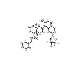 CC1(C)OB(c2ccc3ncc(Cl)c(N4CC[C@H]5[C@H](C4)OCCN5C(=O)OCc4ccccc4)c3c2)OC1(C)C